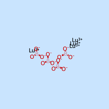 [Lu+3].[Lu+3].[Lu+3].[Lu+3].[O-]B([O-])[O-].[O-]B([O-])[O-].[O-]B([O-])[O-].[O-]B([O-])[O-]